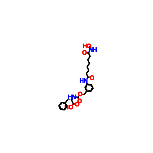 O=C(CCCCCCC(=O)Nc1cccc(COC(=O)N[C@@H](Cc2ccccc2)C(=O)O)c1)NO